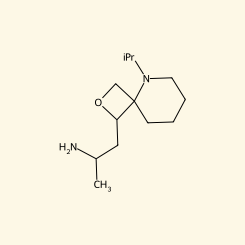 CC(N)CC1OCC12CCCCN2C(C)C